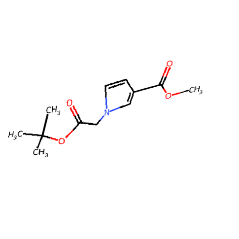 COC(=O)c1ccn(CC(=O)OC(C)(C)C)c1